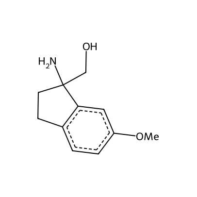 COc1ccc2c(c1)C(N)(CO)CC2